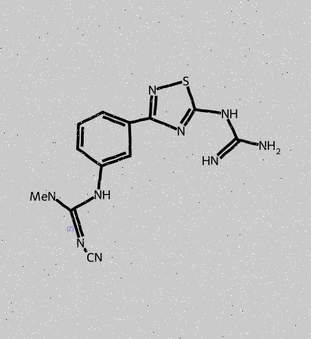 CN/C(=N/C#N)Nc1cccc(-c2nsc(NC(=N)N)n2)c1